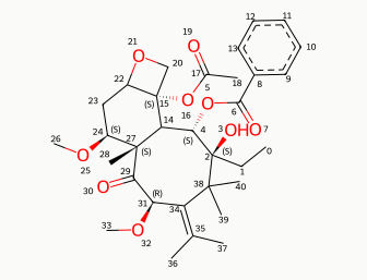 CC[C@@]1(O)[C@@H](OC(=O)c2ccccc2)C2[C@]3(OC(C)=O)COC3C[C@H](OC)[C@@]2(C)C(=O)[C@H](OC)C(=C(C)C)C1(C)C